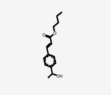 CCCCOC(=O)C=Cc1ccc(C(C)O)cc1